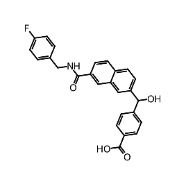 O=C(O)c1ccc(C(O)c2ccc3ccc(C(=O)NCc4ccc(F)cc4)cc3c2)cc1